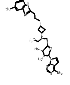 CC(C)(C)c1ccc2[nH]c(CCC[C@H]3C[C@H](N(C[C@H]4O[C@@H](n5ccc6c(N)ncnc65)[C@H](O)[C@@H]4O)CC(F)(F)F)C3)nc2c1